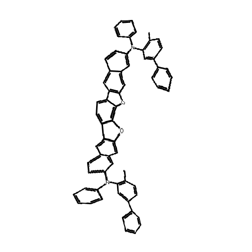 Cc1ccc(-c2ccccc2)cc1N(c1ccccc1)c1ccc2cc3c(cc2c1)oc1c3ccc2c3cc4ccc(N(c5ccccc5)c5cc(-c6ccccc6)ccc5C)cc4cc3oc21